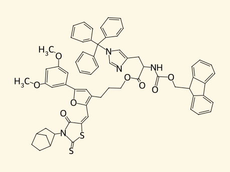 COc1cc(OC)cc(-c2cc(CCCOC(=O)C(Cc3cn(C(c4ccccc4)(c4ccccc4)c4ccccc4)cn3)NC(=O)OCC3c4ccccc4-c4ccccc43)c(C=C3SC(=S)N(C4CC5CCC4C5)C3=O)o2)c1